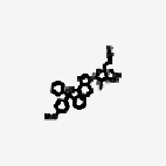 COc1ccc(C(NC2=NC=NC3C2N=CN3[C@@H]2O[C@@](CO)(CN=[N+]=[N-])[C@@H](O)[C@H]2F)(c2ccccc2)c2ccccc2)cc1